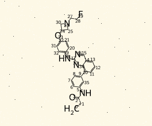 C=CC(=O)Nc1cccc(-c2cccc3cnc(Nc4ccc(OC5CN(CCF)C5)cc4)nc23)c1